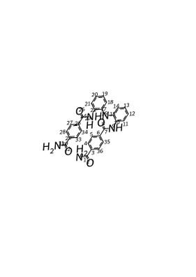 NC(=O)c1ccc(C(=O)Nc2ccccc2Nc2ccccc2NC(=O)c2ccc(C(N)=O)cc2)cc1